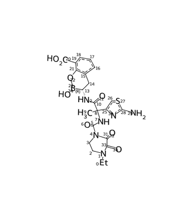 CCN1CCN(C(=O)NC(C)(C(=O)N[C@H]2Cc3cccc(C(=O)O)c3OB2O)c2csc(N)n2)C(=O)C1=O